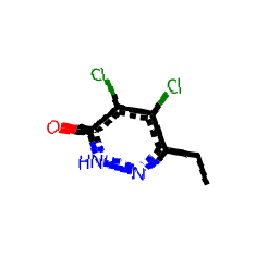 CCc1n[nH]c(=O)c(Cl)c1Cl